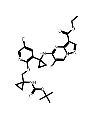 CCOC(=O)c1cnn2cc(F)c(NC3(c4cc(F)cnc4OCC4(NC(=O)OC(C)(C)C)CC4)CC3)nc12